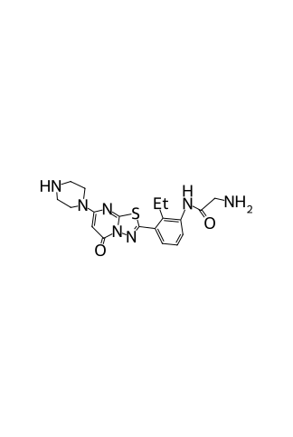 CCc1c(NC(=O)CN)cccc1-c1nn2c(=O)cc(N3CCNCC3)nc2s1